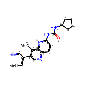 CN/C=C(\C=N)c1cnc2ccc(NC(=O)NC3CCCC3)nc2c1OC